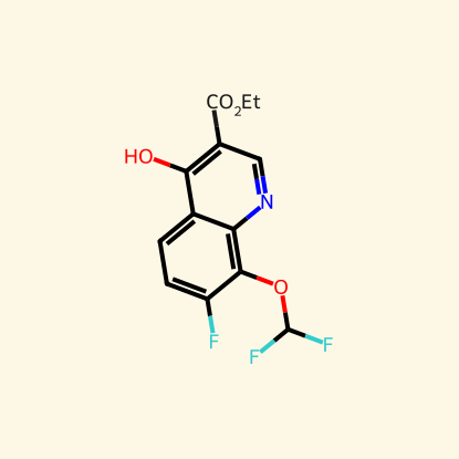 CCOC(=O)c1cnc2c(OC(F)F)c(F)ccc2c1O